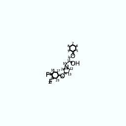 OC(COc1[c]cccc1)CN1CCC(Oc2ccc(F)c(F)c2)C1